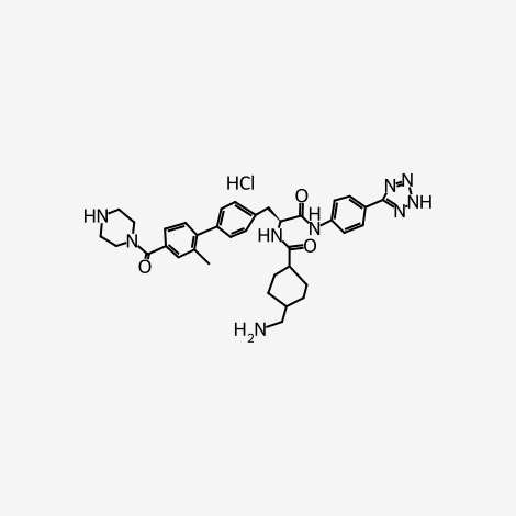 Cc1cc(C(=O)N2CCNCC2)ccc1-c1ccc(C[C@H](NC(=O)C2CCC(CN)CC2)C(=O)Nc2ccc(-c3nn[nH]n3)cc2)cc1.Cl